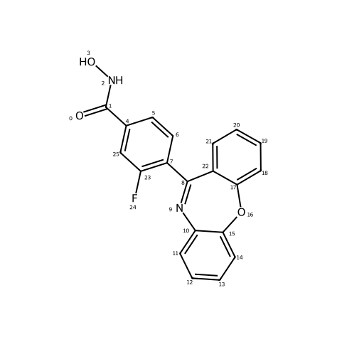 O=C(NO)c1ccc(C2=Nc3ccccc3Oc3ccccc32)c(F)c1